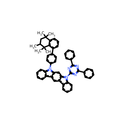 CC1CC(C)(C)c2cccc(-c3ccc(-n4c5ccccc5c5cc6c7ccccc7n(-c7nc(-c8ccccc8)nc(-c8ccccc8)n7)c6cc54)cc3)c2C1(C)C